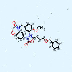 COc1ccc(CN2C(=O)COc3ccc(-n4nc(CCCOCc5ccccc5)oc4=O)cc32)cc1